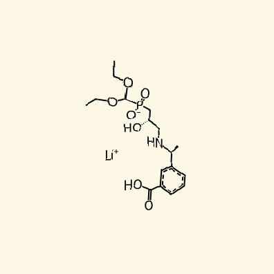 CCOC(OCC)P(=O)([O-])C[C@@H](O)CN[C@@H](C)c1cccc(C(=O)O)c1.[Li+]